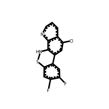 Fc1cc2c(cc1F)-c1cc(Cl)c3cccnc3c1NS2